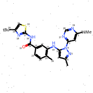 CNc1cc(-n2nc(C)cc2Nc2cc(C(=O)Nc3nc(C(C)(C)C)cs3)ccc2C)ncn1